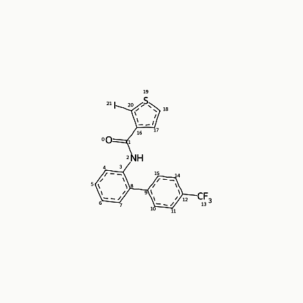 O=C(Nc1ccccc1-c1ccc(C(F)(F)F)cc1)c1ccsc1I